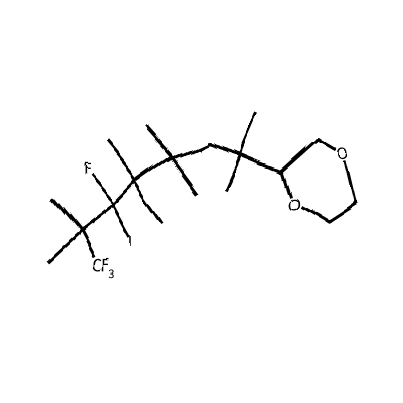 CC(C)(CC(C)(C)C(C)(C)C(F)(I)C(C)(C)C(F)(F)F)C1COCCO1